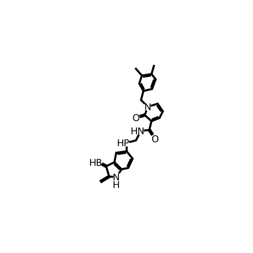 B=c1c(=C)[nH]c2ccc(PCNC(=O)c3cccn(Cc4ccc(C)c(C)c4)c3=O)cc12